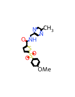 COc1ccc(S(=O)(=O)c2ccc(C(=O)NCc3cnc(C)cn3)s2)cc1